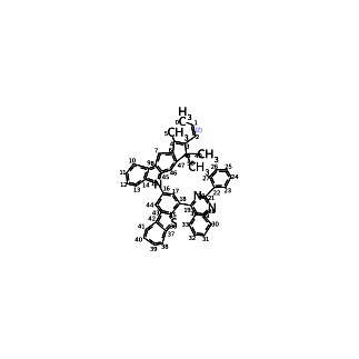 C/C=C\C1=C(C)c2cc3c4ccccc4n(-c4cc(-c5nc(-c6ccccc6)nc6ccccc56)c5sc6ccccc6c5c4)c3cc2C1(C)C